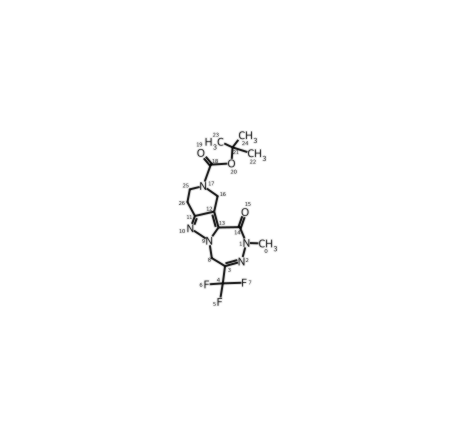 CN1N=C(C(F)(F)F)Cn2nc3c(c2C1=O)CN(C(=O)OC(C)(C)C)CC3